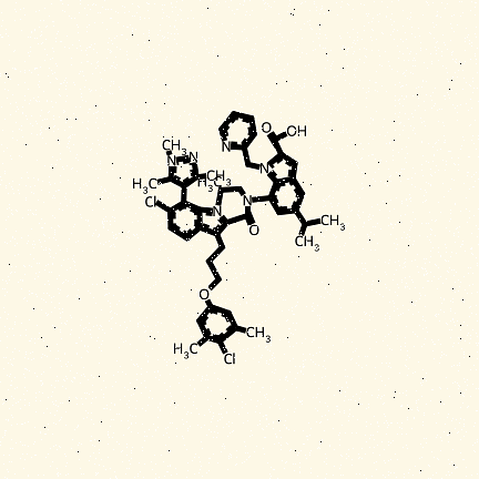 Cc1cc(OCCCc2c3n(c4c(-c5c(C)nn(C)c5C)c(Cl)ccc24)[C@H](C)CN(c2cc(C(C)C)cc4cc(C(=O)O)n(Cc5ccccn5)c24)C3=O)cc(C)c1Cl